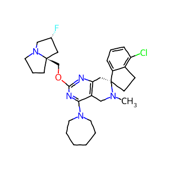 CN1Cc2c(nc(OC[C@@]34CCCN3C[C@H](F)C4)nc2N2CCCCCC2)C[C@]12CCc1c(Cl)cccc12